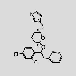 Clc1ccc(C(Cc2ccccc2)O[C@H]2CCC[C@H](Cn3ccnc3)O2)c(Cl)c1